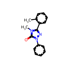 Cc1ccccc1-c1nn(-c2ccccc2)c(=O)n1C